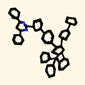 c1ccc(-c2ccc(-c3cc4c(cc3-c3ccc(-c5cccc(-c6nc(-c7ccccc7)cc(-c7ccccc7)n6)c5)cc3)C(c3ccccc3)(c3ccccc3)c3ccccc3-4)cc2)cc1